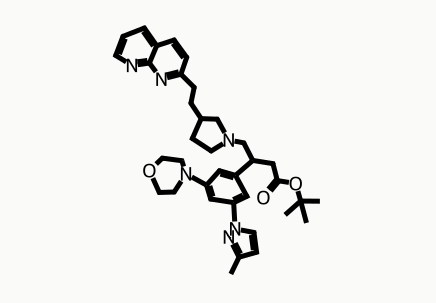 Cc1ccn(-c2cc(C(CC(=O)OC(C)(C)C)CN3CCC(CCc4ccc5cccnc5n4)C3)cc(N3CCOCC3)c2)n1